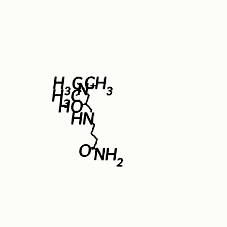 C[N+](C)(C)CC(O)CNCCCC(N)=O